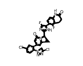 O=C1CCc2c(ccc(-c3[nH]c(C4C5CC5c5cc(-c6cc(Cl)ccc6-n6cc(Cl)nn6)cc(=O)n54)nc3F)c2F)N1